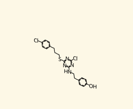 Oc1ccc(CCNc2nc(Cl)nc(SCCCc3ccc(Cl)cc3)n2)cc1